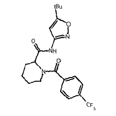 CC(C)(C)c1cc(NC(=O)C2CCCCN2C(=O)c2ccc(C(F)(F)F)cc2)no1